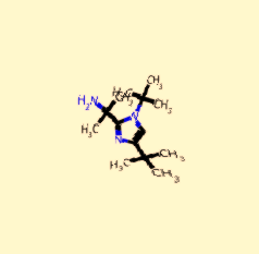 CC(C)(C)c1cn(C(C)(C)C)c(C(C)(C)N)n1